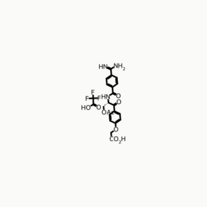 CC(=O)OC[C@H](NC(=O)c1ccc(C(=N)N)cc1)C(=O)c1ccc(OCC(=O)O)cc1.O=C(O)C(F)(F)F